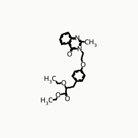 CCOC(=O)C(Cc1ccc(OCCn2c(C)nc3ccccc3c2=O)cc1)OCC